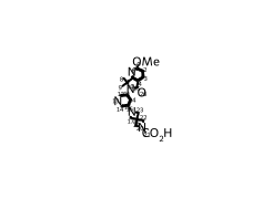 COc1ccc2c(n1)C(C)(C)N(c1cncc(N3CC4(CN(C(=O)O)C4)C3)c1)C2=O